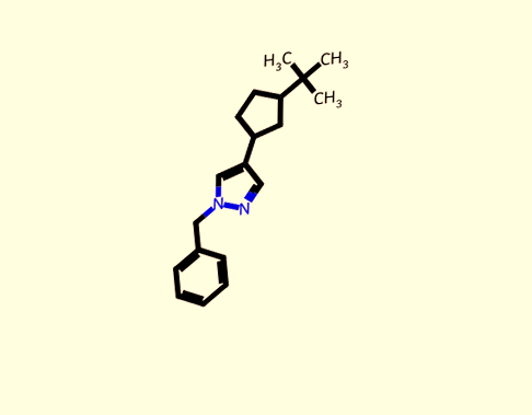 CC(C)(C)C1CCC(c2cnn(Cc3ccccc3)c2)C1